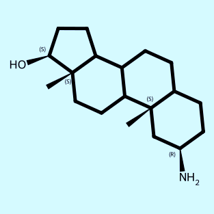 C[C@]12C[C@H](N)CCC1CCC1C2CC[C@@]2(C)C1CC[C@@H]2O